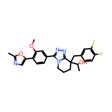 COc1cc(-c2nnc3n2CCCC3(Cc2ccc(F)c(F)c2)C(C)O)ccc1-c1cnc(C)o1